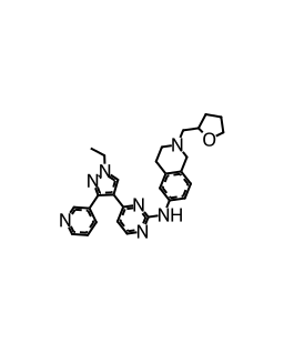 CCn1cc(-c2ccnc(Nc3ccc4c(c3)CCN(CC3CCCO3)C4)n2)c(-c2cccnc2)n1